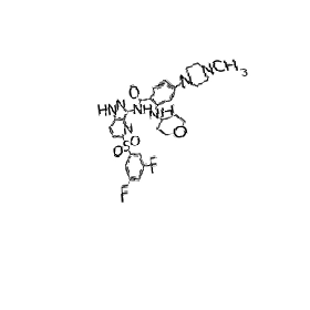 CN1CCN(c2ccc(C(=O)Nc3n[nH]c4ccc(S(=O)(=O)c5cc(F)cc(F)c5)nc34)c(NC3CCOCC3)c2)CC1